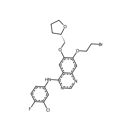 Fc1ccc(Nc2ncnc3cc(OCCBr)c(OC[C@@H]4CCCO4)cc23)cc1Cl